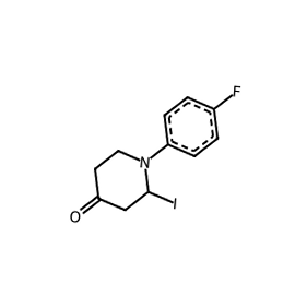 O=C1CCN(c2ccc(F)cc2)C(I)C1